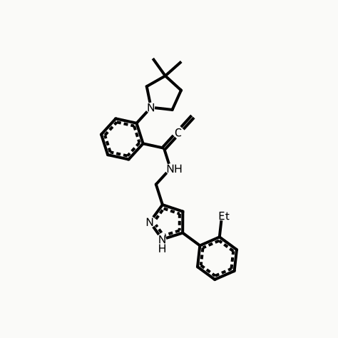 C=C=C(NCc1cc(-c2ccccc2CC)[nH]n1)c1ccccc1N1CCC(C)(C)C1